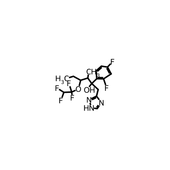 CCC(OC(F)(F)C(F)F)C(C)C(O)(Cc1nc[nH]n1)c1ccc(F)cc1F